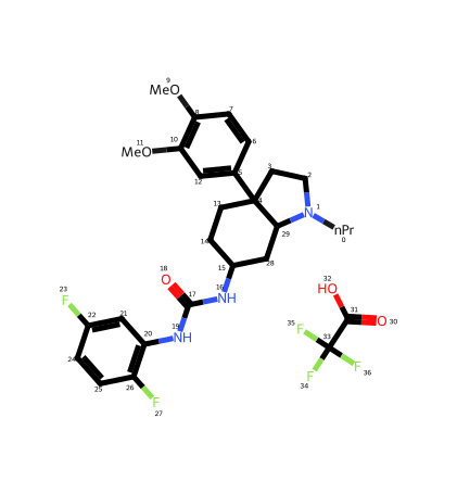 CCCN1CCC2(c3ccc(OC)c(OC)c3)CCC(NC(=O)Nc3cc(F)ccc3F)CC12.O=C(O)C(F)(F)F